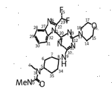 CNC(=O)N(C)[C@H]1CC[C@H](Nc2nc(N3CCOCC3)nc(-n3c(C(F)F)nc4ccccc43)n2)CC1